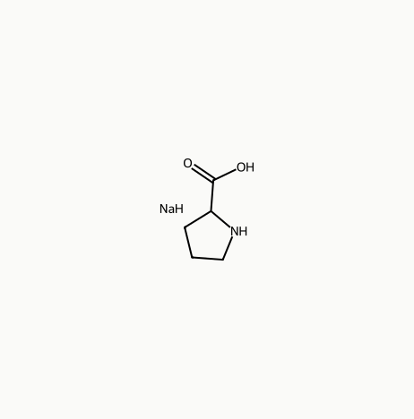 O=C(O)C1CCCN1.[NaH]